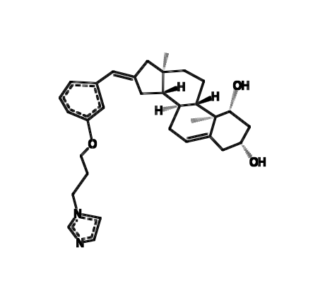 C[C@]12CC[C@H]3[C@@H](CC=C4C[C@@H](O)C[C@@H](O)[C@@]43C)[C@@H]1C/C(=C\c1cccc(OCCCn3ccnc3)c1)C2